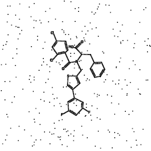 O=C(O)C(Cc1ccccc1)N(Cc1cc(-c2cc(F)cc(F)c2)cs1)C(=O)c1ccc(Cl)cc1Cl